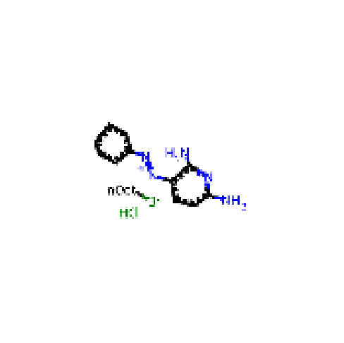 CCCCCCCCBr.Cl.Nc1ccc(/N=N/c2ccccc2)c(N)n1